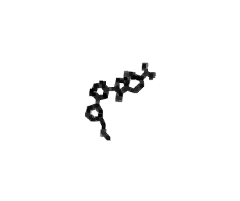 CSCc1cccc(-c2cc(-c3cnc(/C=C\C(=N)C(F)F)[nH]3)ncn2)c1